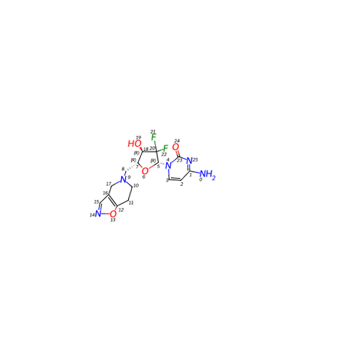 Nc1ccn([C@@H]2O[C@H](CN3CCc4oncc4C3)[C@@H](O)C2(F)F)c(=O)n1